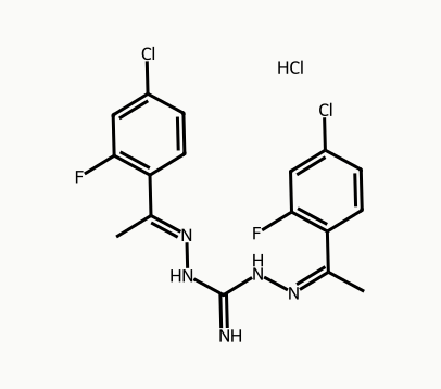 CC(=NNC(=N)NN=C(C)c1ccc(Cl)cc1F)c1ccc(Cl)cc1F.Cl